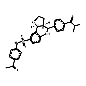 CC(=O)c1ccc(NS(=O)(=O)c2ccc3c(c2)[C@H]2OCC[C@H]2C(c2ccc(C(=O)C(C)C)cc2)N3)cc1